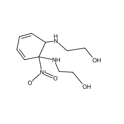 O=[N+]([O-])C1(NCCO)C=CC=CC1NCCO